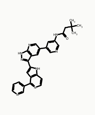 CC(C)(C)CC(=O)Nc1cncc(-c2cnc3[nH]nc(-c4cc5c(-c6cccnc6)nccc5[nH]4)c3c2)c1